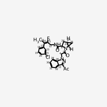 CC(=O)c1nn(CC(=O)N2C(C(=O)NC/C(F)=C(/C)c3cccc(Cl)c3)C[C@H]3C[C@@H]32)c2ccccc12